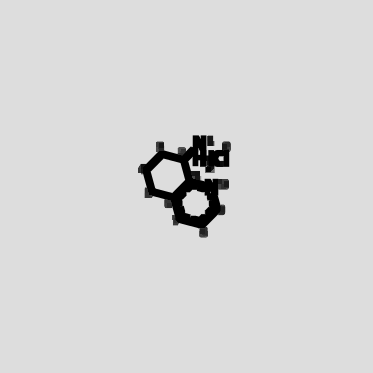 Cl.NC1CCCc2cccnc21